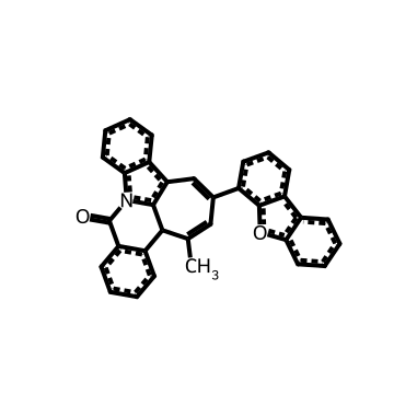 CC1=CC(c2cccc3c2oc2ccccc23)=Cc2c3n(c4ccccc24)C(=O)c2ccccc2C13